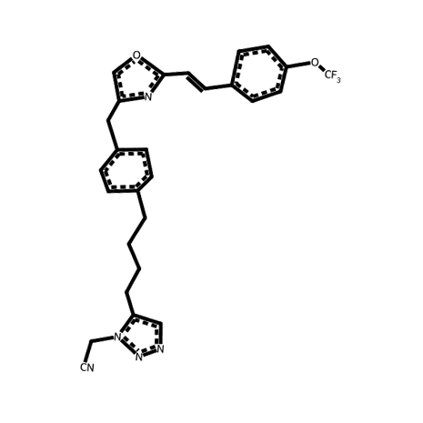 N#CCn1nncc1CCCCc1ccc(Cc2coc(C=Cc3ccc(OC(F)(F)F)cc3)n2)cc1